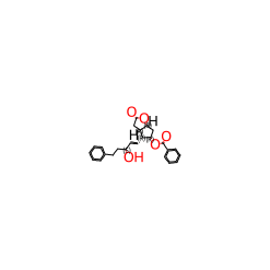 O=C1C[C@@H]2[C@@H](C=C[C@@H](O)CCc3ccccc3)[C@H](OC(=O)c3ccccc3)C[C@@H]2O1